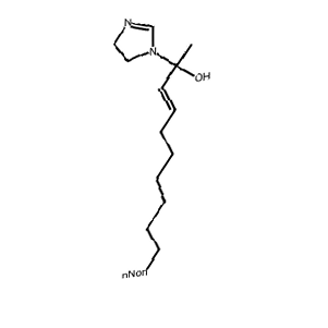 CCCCCCCCCCCCCCC/C=C/C(C)(O)N1C=NCC1